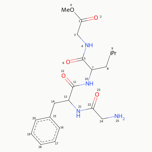 COC(=O)CNC(=O)C(CC(C)C)NC(=O)C(Cc1ccccc1)NC(=O)CN